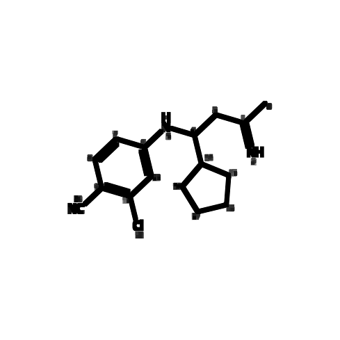 CC(=N)CC(Nc1ccc(C#N)c(Cl)c1)C1CCCC1